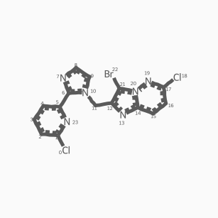 Clc1cccc(-c2nccn2Cc2nc3ccc(Cl)nn3c2Br)n1